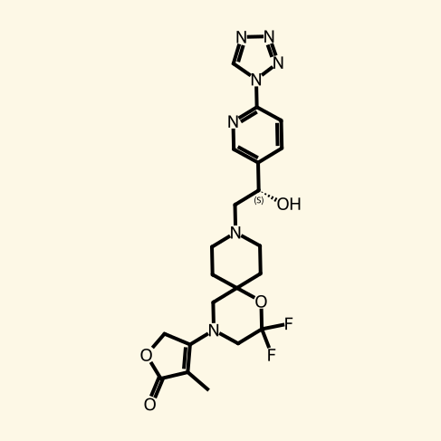 CC1=C(N2CC(F)(F)OC3(CCN(C[C@@H](O)c4ccc(-n5cnnn5)nc4)CC3)C2)COC1=O